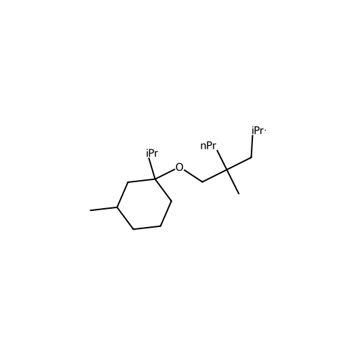 CCCC(C)(COC1(C(C)C)CCCC(C)C1)C[C](C)C